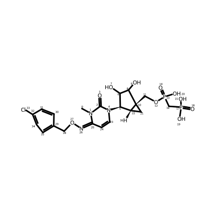 Cn1c(=O)n([C@H]2C(O)C(O)[C@]3(COP(=O)(O)CP(=O)(O)O)C[C@H]23)cc/c1=N/OCc1ccc(Cl)cc1